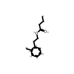 CCCC(=O)OCCc1ccccc1C